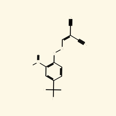 N#CC(C#N)=CNNc1ccc(C(F)(F)F)cc1[N+](=O)[O-]